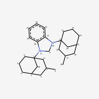 CC1CC2CCCC(N3CN(C45CCCC(CC(C)C4)C5)c4ccccc43)(C1)C2